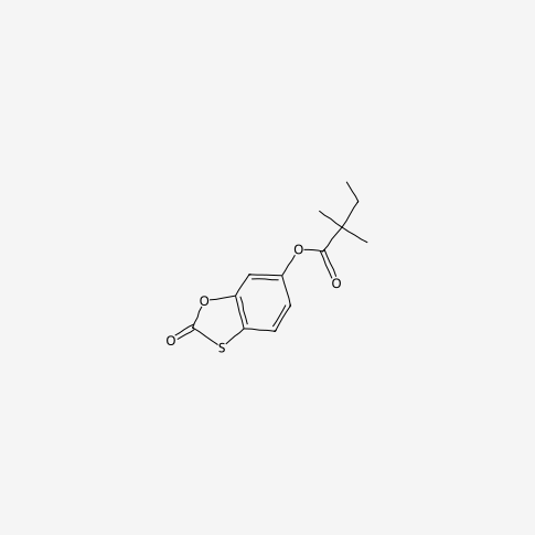 CCC(C)(C)C(=O)Oc1ccc2sc(=O)oc2c1